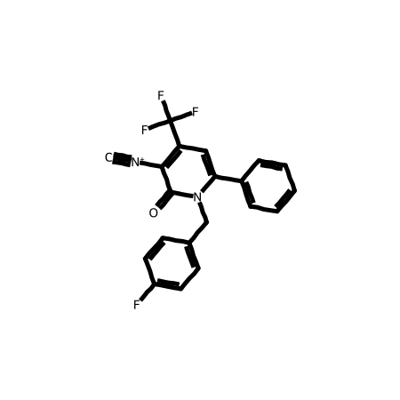 [C-]#[N+]c1c(C(F)(F)F)cc(-c2ccccc2)n(Cc2ccc(F)cc2)c1=O